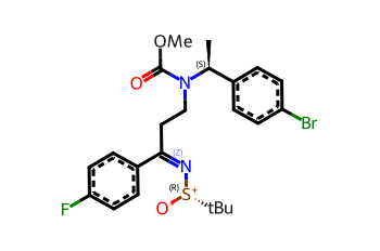 COC(=O)N(CC/C(=N/[S@@+]([O-])C(C)(C)C)c1ccc(F)cc1)[C@@H](C)c1ccc(Br)cc1